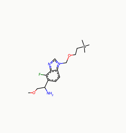 COCC(N)c1ccc2c(ncn2COCC[Si](C)(C)C)c1F